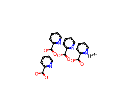 O=C([O-])c1ccccn1.O=C([O-])c1ccccn1.O=C([O-])c1ccccn1.O=C([O-])c1ccccn1.[Hf+4]